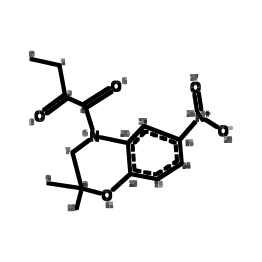 CCC(=O)C(=O)N1CC(C)(C)Oc2ccc([N+](=O)[O-])cc21